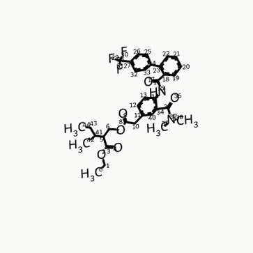 CCOC(=O)C(COC(=O)Cc1ccc(NC(=O)c2ccccc2-c2ccc(C(F)(F)F)cc2)c(C(=O)N(C)C)c1)C(C)CC